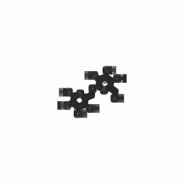 OCC1O[C@H](OCC2O[C@H](O)C(O)[C@@H](O)[C@@H]2O)C(O)[C@@H](O)[C@@H]1O